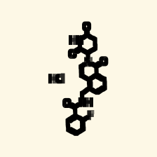 Cl.O=C1CCC(n2ccc3c(CNC(=O)c4ccccc4F)cccc3c2=O)C(=O)N1